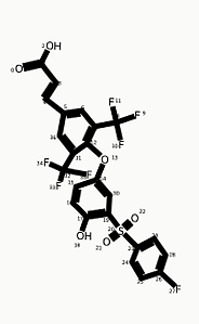 O=C(O)/C=C/c1cc(C(F)(F)F)c(Oc2ccc(O)c(S(=O)(=O)c3ccc(F)cc3)c2)c(C(F)(F)F)c1